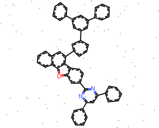 c1ccc(-c2cc(-c3ccccc3)cc(-c3cccc(-c4cc5ccccc5c5oc6cc(-c7nc(-c8ccccc8)cc(-c8ccccc8)n7)ccc6c45)c3)c2)cc1